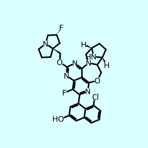 Oc1cc(-c2nc3c4c(nc(OC[C@@]56CCCN5C[C@H](F)C6)nc4c2F)N2C[C@@H]4CC[C@@H](N4)C2CO3)c2c(Cl)cccc2c1